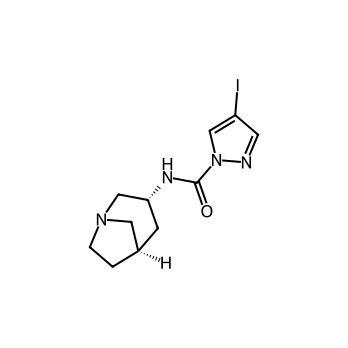 O=C(N[C@@H]1C[C@H]2CCN(C2)C1)n1cc(I)cn1